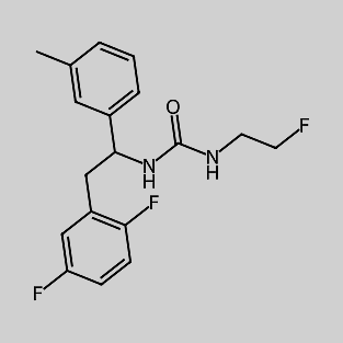 Cc1cccc(C(Cc2cc(F)ccc2F)NC(=O)NCCF)c1